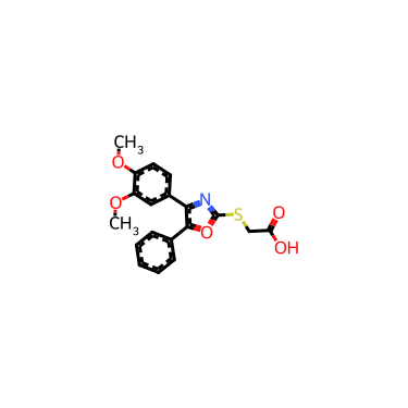 COc1ccc(-c2nc(SCC(=O)O)oc2-c2ccccc2)cc1OC